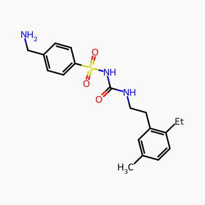 CCc1ccc(C)cc1CCNC(=O)NS(=O)(=O)c1ccc(CN)cc1